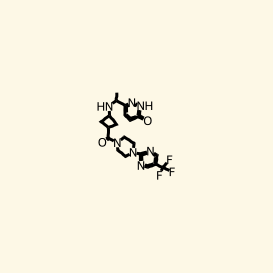 CC(NC1CC(C(=O)N2CCN(c3ncc(C(F)(F)F)cn3)CC2)C1)c1ccc(=O)[nH]n1